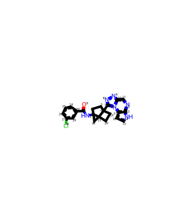 O=C(NC12CCC3(c4nnc5cnc6[nH]ccc6n45)CCC13C2)c1cccc(Cl)c1